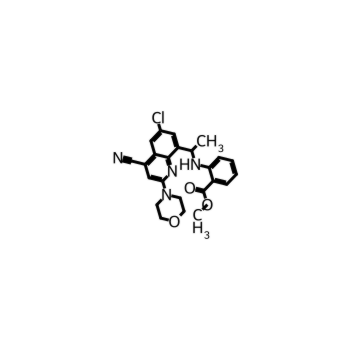 COC(=O)c1ccccc1NC(C)c1cc(Cl)cc2c(C#N)cc(N3CCOCC3)nc12